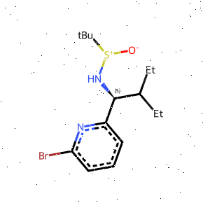 CCC(CC)[C@H](N[S+]([O-])C(C)(C)C)c1cccc(Br)n1